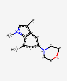 CC(C)c1cn(C)c2c(C(=O)O)cc(N3CCOCC3)cc12